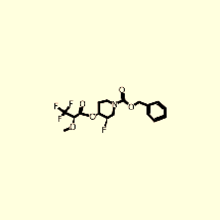 CO[C@H](C(=O)O[C@H]1CCN(C(=O)OCc2ccccc2)C[C@H]1F)C(F)(F)F